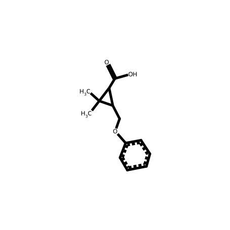 CC1(C)C(COc2ccccc2)C1C(=O)O